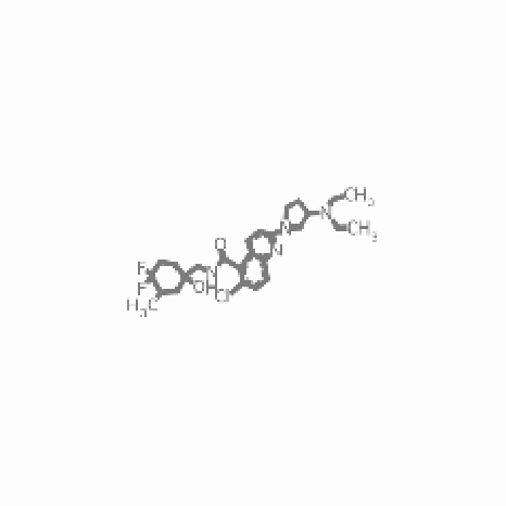 CCN(CC)C1CCN(c2ccc3c(C(=O)NCC4(O)CCC(F)(F)C(C)C4)c(Cl)ccc3n2)C1